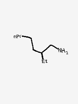 CCCCCC(CC)CN